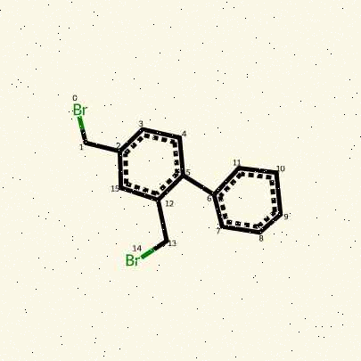 BrCc1ccc(-c2ccccc2)c(CBr)c1